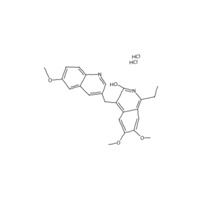 CCc1nc(O)c(Cc2cnc3ccc(OC)cc3c2)c2cc(OC)c(OC)cc12.Cl.Cl